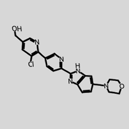 OCc1cnc(-c2ccc(-c3nc4ccc(N5CCOCC5)cc4[nH]3)nc2)c(Cl)c1